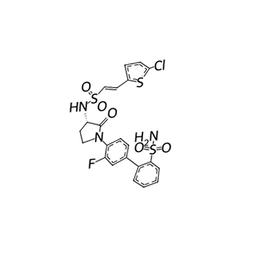 NS(=O)(=O)c1ccccc1-c1ccc(N2CC[C@H](NS(=O)(=O)C=Cc3ccc(Cl)s3)C2=O)c(F)c1